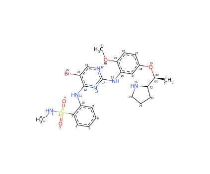 CNS(=O)(=O)c1ccccc1Nc1nc(Nc2cc(O[C@@H](C)C3CCCN3)ccc2OC)ncc1Br